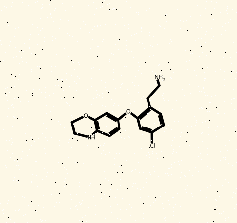 NCCc1ccc(Cl)cc1Oc1ccc2c(c1)OCCN2